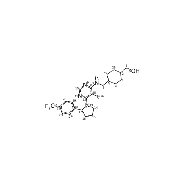 OCC1CCC(CNc2ncnc(N3CCCC3c3ccc(C(F)(F)F)cc3)c2F)CC1